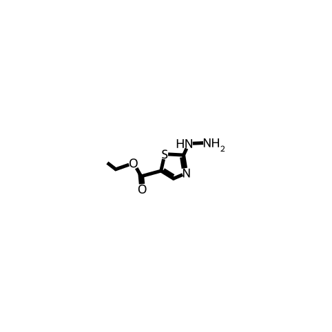 CCOC(=O)c1cnc(NN)s1